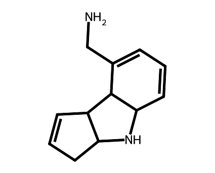 NCC1=CC=CC2NC3CC=CC3C12